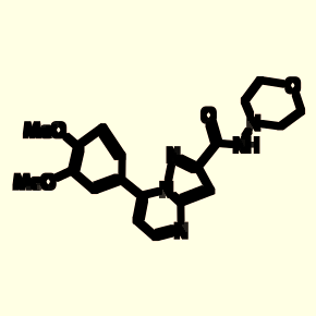 COc1ccc(-c2ccnc3cc(C(=O)NN4CCOCC4)nn23)cc1OC